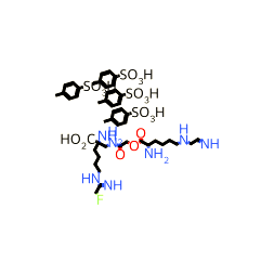 Cc1ccc(S(=O)(=O)O)cc1.Cc1ccc(S(=O)(=O)O)cc1.Cc1ccc(S(=O)(=O)O)cc1.Cc1ccc(S(=O)(=O)O)cc1.N=CCNCCCCC(N)C(=O)OCC(=O)NCC(N)(CCCCNC(=N)CF)C(=O)O